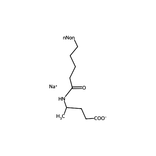 CCCCCCCCCCCCCC(=O)NC(C)CCC(=O)[O-].[Na+]